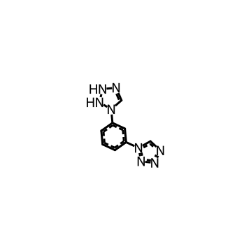 C1=NNNN1c1cccc(-n2cnnn2)c1